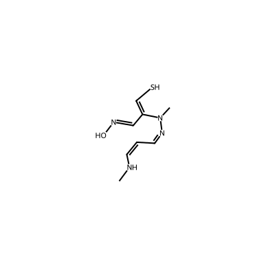 CN/C=C\C=N/N(C)C(=C\S)/C=N/O